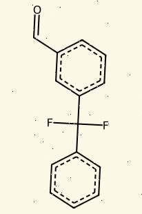 O=Cc1cccc(C(F)(F)c2ccccc2)c1